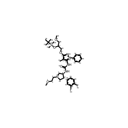 COCCN1C[C@@H](NC(=O)Nc2c(C)c(OCC(COC)O[Si](C)(C)C(C)(C)C)nn2-c2ccccc2)[C@H](c2ccc(F)c(F)c2)C1